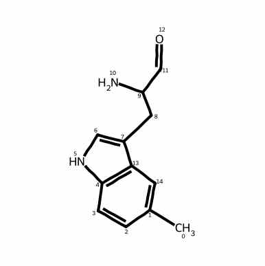 Cc1ccc2[nH]cc(CC(N)[C]=O)c2c1